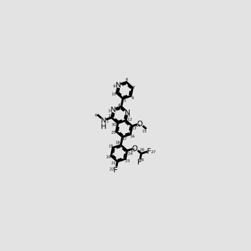 CNc1nc(-c2cccnc2)nc2c(OC)cc(-c3ccc(F)cc3OC(F)F)cc12